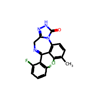 Cc1ccc2c(c1Cl)C(c1c(F)cccc1F)=NCc1n[nH]c(=O)n1-2